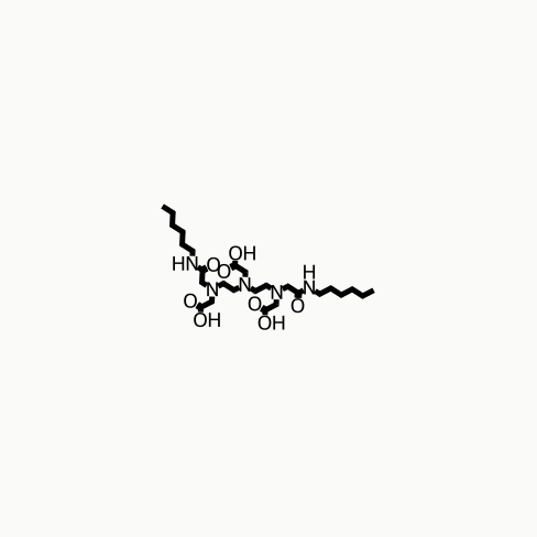 CCCCCCNC(=O)CN(CCN(CCN(CC(=O)O)CC(=O)NCCCCCC)CC(=O)O)CC(=O)O